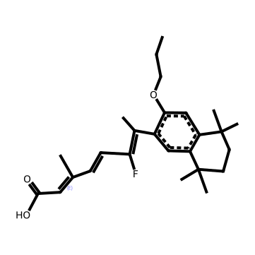 CCCOc1cc2c(cc1C(C)=C(F)C=C/C(C)=C/C(=O)O)C(C)(C)CCC2(C)C